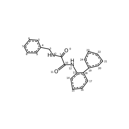 O=C(NCc1ccccc1)C(=O)Nc1ccccc1-c1ccccc1